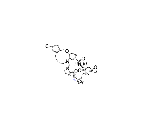 C=CC[C@H](C)[C@H](C[C@@H]1CCO1)S(=O)(=O)NC(=O)c1ccc2c(c1)N(C[C@@H]1CC[C@H]1[C@@H](O)/C=C/CCC)CCCCc1cc(Cl)ccc1CO2